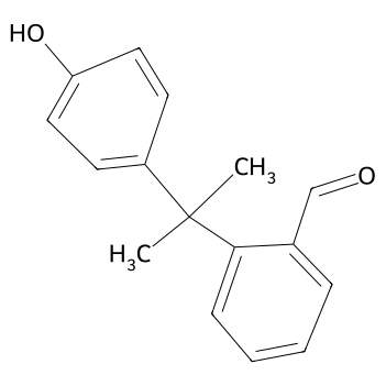 CC(C)(c1ccc(O)cc1)c1ccccc1C=O